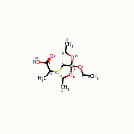 CCO[Si](CSC(C)C(=O)O)(OCC)OCC